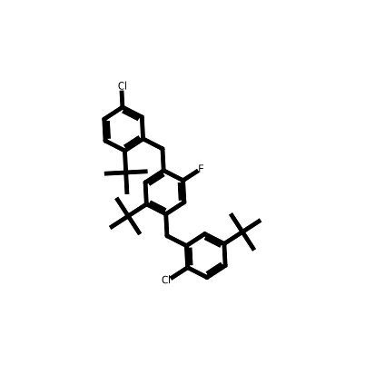 CC(C)(C)c1ccc(Cl)c(Cc2cc(F)c(Cc3cc(Cl)ccc3C(C)(C)C)cc2C(C)(C)C)c1